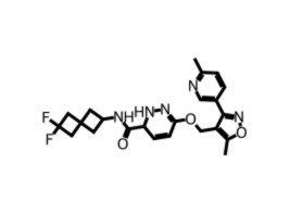 Cc1ccc(-c2noc(C)c2COC2=NNC(C(=O)NC3CC4(C3)CC(F)(F)C4)C=C2)cn1